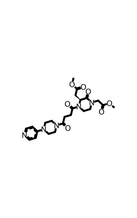 COC(=O)C[C@H]1C(=O)N(CC(=O)OC)CCN1C(=O)CCC(=O)N1CCN(c2ccncc2)CC1